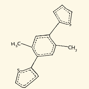 Cc1cc(-c2cccs2)c(C)cc1-c1cccs1